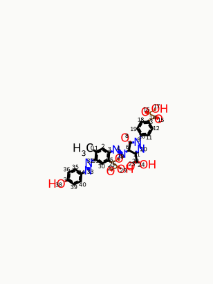 Cc1cc(N=NC2C(=O)N(c3ccc(S(=O)(=O)O)cc3)N=C2C(=O)O)c(S(=O)(=O)O)cc1N=Nc1ccc(O)cc1